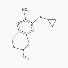 CN1CCc2cc([N+](=O)[O-])c(OC3CC3)cc2C1